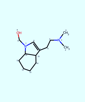 CN(C)CCC1=CN(CO)C2CCCCC12